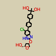 CC(CO)(CO)c1ccc(-c2ccc(-c3cc4nc(OC5CO[C@H](CO)C5)[nH]c4cc3Cl)cc2)cc1